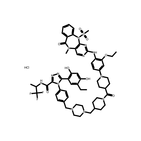 CCOc1cc(N2CCC(C(=O)N3CCC(CN4CCN(Cc5ccc(-n6c(C(=O)NC(C)C(F)(F)F)nnc6-c6cc(CC)c(O)cc6O)cc5)CC4)CC3)CC2)ccc1Nc1ncc2c(n1)N(S(C)(=O)=O)c1ccccc1C(=O)N2C.Cl